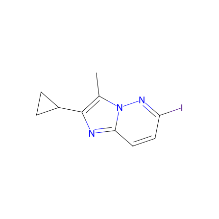 Cc1c(C2CC2)nc2ccc(I)nn12